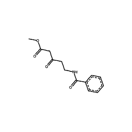 COC(=O)CC(=O)CCNC(=O)c1ccccc1